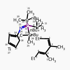 CCC=C(C)C(C)=CCC.CCCC[Si](C)(C)P(=NC1=CC=CC1)([Si](C)(C)CCCC)[Si](C)(C)CCCC.[Ti]